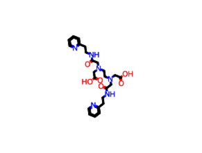 O=C(O)CN(CCN(CC(=O)O)CC(=O)NCCc1ccccn1)CC(=O)NCCc1ccccn1